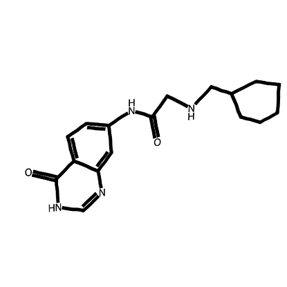 O=C(CNCC1CCCCC1)Nc1ccc2c(=O)[nH]cnc2c1